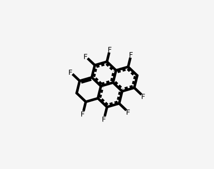 FC1=c2c(F)c(F)c3c(F)cc(F)c4c(F)c(F)c(c2c43)C(F)C1